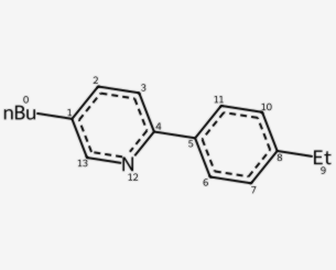 CCCCc1ccc(-c2ccc(CC)cc2)nc1